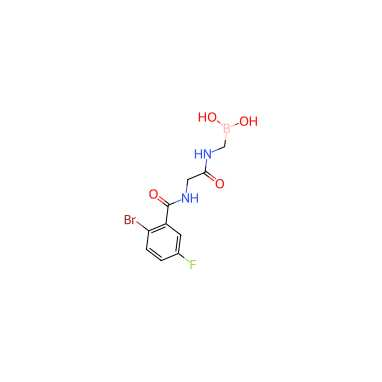 O=C(CNC(=O)c1cc(F)ccc1Br)NCB(O)O